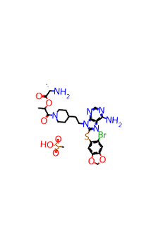 CC(OC(=O)[C@H](C)N)C(=O)N1CCC(CCn2c(Sc3cc4c(cc3Br)OCO4)nc3c(N)ncnc32)CC1.CS(=O)(=O)O